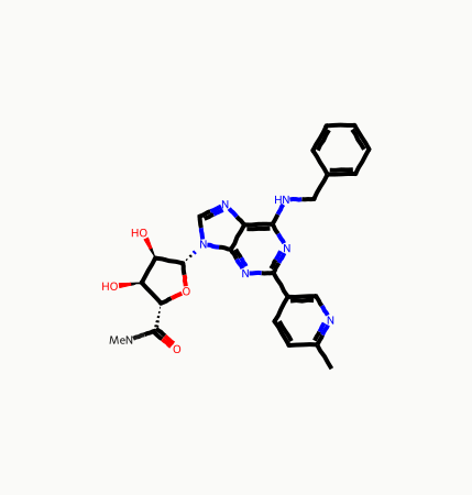 CNC(=O)[C@H]1O[C@@H](n2cnc3c(NCc4ccccc4)nc(-c4ccc(C)nc4)nc32)[C@H](O)[C@@H]1O